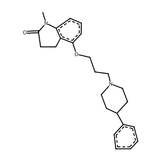 CN1C(=O)CCc2c(OCCCN3CCC(c4ccccc4)CC3)cccc21